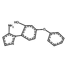 Nc1ccnn1-c1ccc(Oc2ccccc2)cc1O